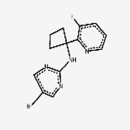 Fc1cccnc1C1(Nc2ncc(Br)cn2)CCC1